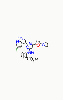 O=C(O)C1C2CCC(CC2)C1Nc1cc(-c2ccc(N3CCCC3)o2)nc(-c2c[nH]c3ncc(F)cc23)n1